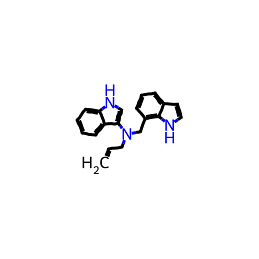 C=CCN(Cc1cccc2cc[nH]c12)c1c[nH]c2ccccc12